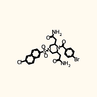 NC(=O)CC1CN(S(=O)(=O)c2ccc3cc(Cl)ccc3c2)CC(CC(N)=O)N1C(=O)c1ccc(Br)cc1